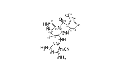 N#Cc1c(N)nc(N)nc1NC(c1nc2cccc(Cl)c2c(=O)n1-c1cn[nH]c1)C1CC1